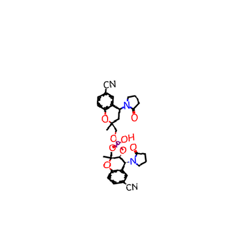 CC1(COP(=O)(O)O[C@@H]2[C@H](N3CCCC3=O)c3cc(C#N)ccc3OC2(C)C)CC(N2CCCC2=O)c2cc(C#N)ccc2O1